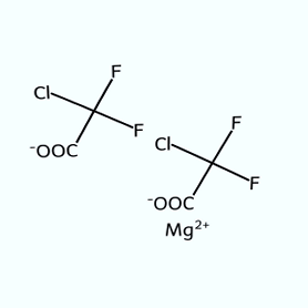 O=C([O-])C(F)(F)Cl.O=C([O-])C(F)(F)Cl.[Mg+2]